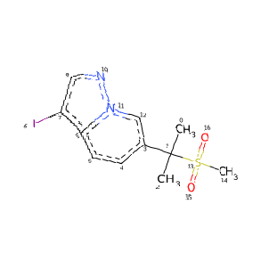 CC(C)(c1ccc2c(I)cnn2c1)S(C)(=O)=O